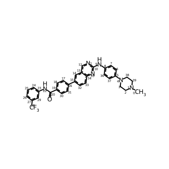 CN1CCN(c2ccc(Nc3ncc4cc(-c5ccc(C(=O)Nc6cccc(C(F)(F)F)c6)cc5)ccc4n3)cc2)CC1